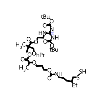 CCCOCC(C)(COC(=O)C(C)OCCCOC(=O)NCCCC(CC)CSS)C(=O)OCCN/C(=N\C(=O)OC(C)(C)C)NC(=O)OC(C)(C)C